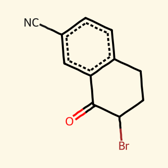 N#Cc1ccc2c(c1)C(=O)C(Br)CC2